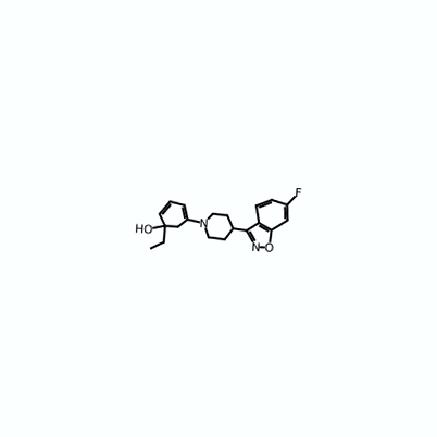 CCC1(O)C=CC=C(N2CCC(c3noc4cc(F)ccc34)CC2)C1